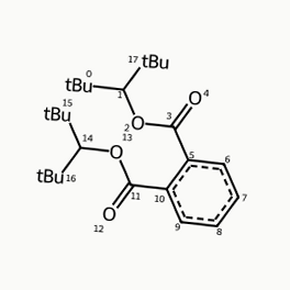 CC(C)(C)C(OC(=O)c1ccccc1C(=O)OC(C(C)(C)C)C(C)(C)C)C(C)(C)C